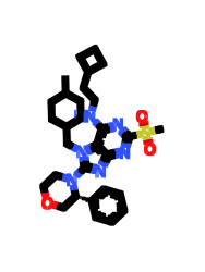 CC1CCC(Cn2c(N3CCOC[C@H]3c3ccccc3)nc3nc(S(C)(=O)=O)nc(NCCC4CCC4)c32)CC1